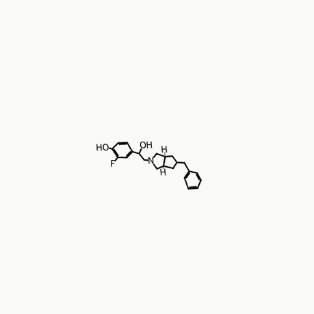 Oc1ccc(C(O)CN2C[C@H]3CC(Cc4ccccc4)C[C@H]3C2)cc1F